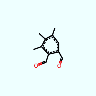 Cc1cc(C=O)c(C=O)c(C)c1C